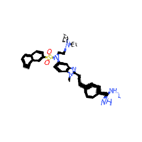 CCN(CC)CCN(c1ccc2c(c1)nc(CCc1ccc(C(=N)N)cc1)n2C)S(=O)(=O)c1ccc2ccccc2c1